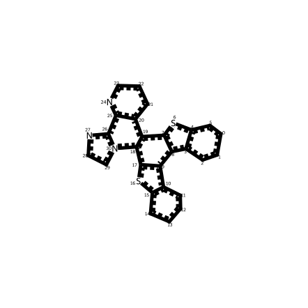 c1ccc2c(c1)sc1c2c2c3ccccc3sc2c2c1c1cccnc1c1nccn12